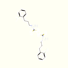 Fc1ccccc1CCCNC(=S)SSC(=S)NCCCc1ccccc1F